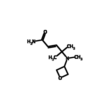 CN(C1COC1)C(C)(C)/C=C/C(N)=O